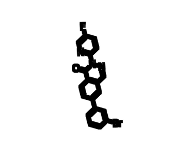 O=c1c2ccc(-c3cccc(Br)c3)cc2cnn1-c1ccc(F)cn1